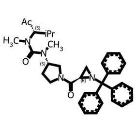 CC(=O)[C@H](C(C)C)N(C)C(=O)N(C)[C@H]1CCN(C(=O)[C@H]2CN2C(c2ccccc2)(c2ccccc2)c2ccccc2)C1